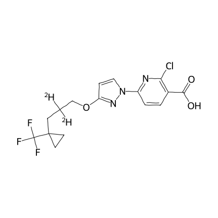 [2H]C([2H])(COc1ccn(-c2ccc(C(=O)O)c(Cl)n2)n1)CC1(C(F)(F)F)CC1